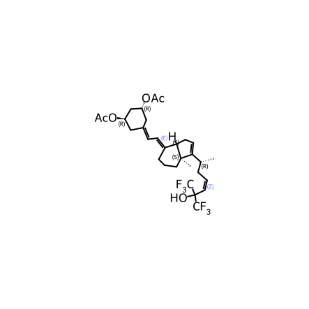 CC(=O)O[C@@H]1CC(=C/C=C2\CCC[C@]3(C)C([C@H](C)C/C=C\C(O)(C(F)(F)F)C(F)(F)F)=CC[C@@H]23)C[C@@H](OC(C)=O)C1